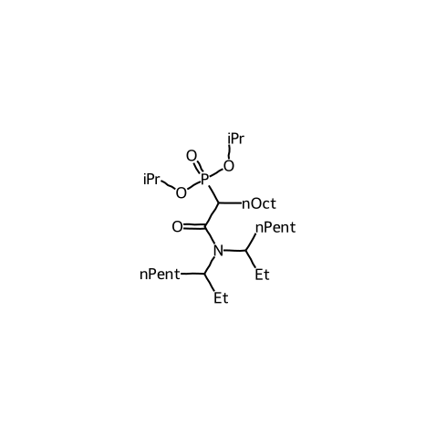 CCCCCCCCC(C(=O)N(C(CC)CCCCC)C(CC)CCCCC)P(=O)(OC(C)C)OC(C)C